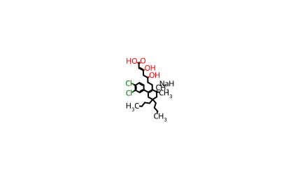 CCCCC1(CCCC)CC(c2ccc(Cl)c(Cl)c2)=C(CCC(O)C/C(O)=C/C(=O)O)C(C)(C)C1.[NaH]